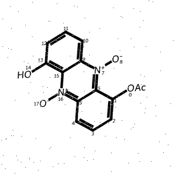 CC(=O)Oc1cccc2c1[n+]([O-])c1cccc(O)c1[n+]2[O-]